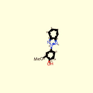 COc1cc(-n2nc3ccccc3n2)ccc1O